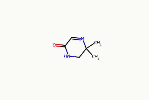 CC1(C)CNC(=O)C=N1